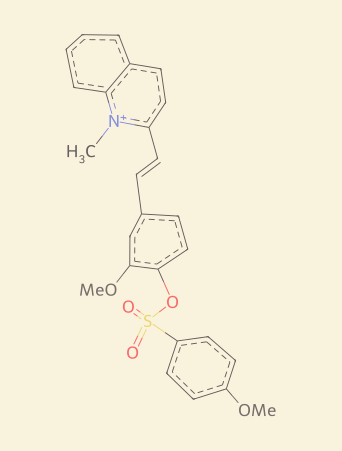 COc1ccc(S(=O)(=O)Oc2ccc(C=Cc3ccc4ccccc4[n+]3C)cc2OC)cc1